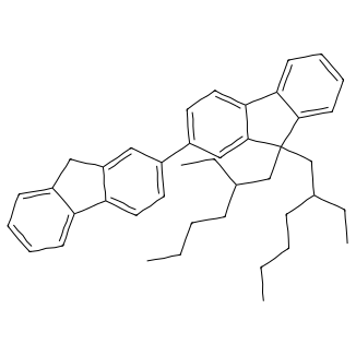 CCCCC(CC)CC1(CC(CC)CCCC)c2ccccc2-c2ccc(-c3ccc4c(c3)Cc3ccccc3-4)cc21